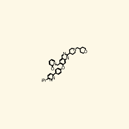 CC(C)c1ccc(-c2ccc(Oc3cc4nc(C5CCN(CC6CCOCC6)CC5)ncc4cc3Cn3ccccc3=O)cc2)nn1